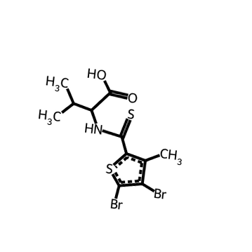 Cc1c(C(=S)NC(C(=O)O)C(C)C)sc(Br)c1Br